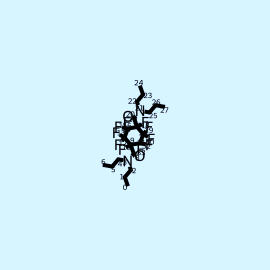 CCCN(CCC)C(=O)C1(F)C(F)(F)C(F)(F)C(F)(C(=O)N(CCC)CCC)C(F)(F)C1(F)F